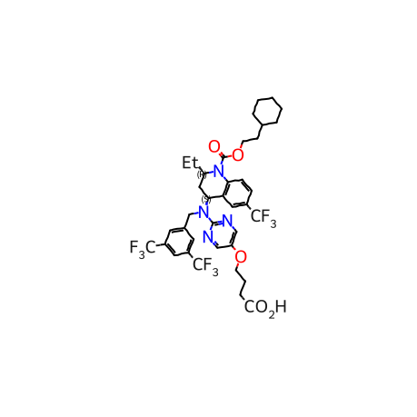 CC[C@@H]1C[C@H](N(Cc2cc(C(F)(F)F)cc(C(F)(F)F)c2)c2ncc(OCCCC(=O)O)cn2)c2cc(C(F)(F)F)ccc2N1C(=O)OCCC1CCCCC1